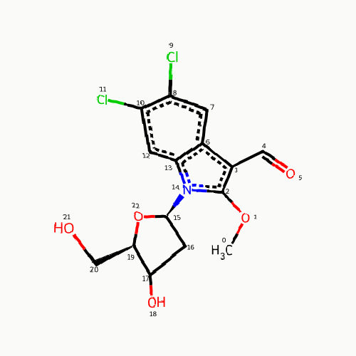 COc1c(C=O)c2cc(Cl)c(Cl)cc2n1[C@H]1CC(O)[C@@H](CO)O1